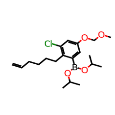 C=CCCCCc1c(Cl)cc(OCOC)cc1B(OC(C)C)OC(C)C